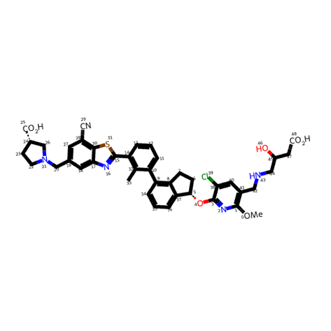 COc1nc(O[C@H]2CCc3c(-c4cccc(-c5nc6cc(CN7CC[C@H](C(=O)O)C7)cc(C#N)c6s5)c4C)cccc32)c(Cl)cc1CNCC(O)CC(=O)O